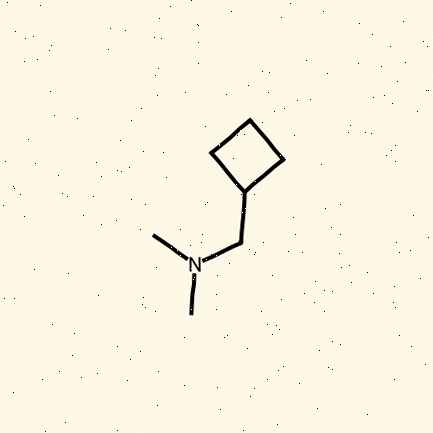 CN(C)CC1CCC1